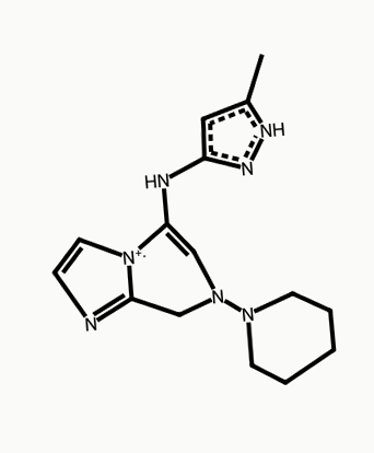 Cc1cc(NC2=CN(N3CCCCC3)CC3=NC=C[N+]23)n[nH]1